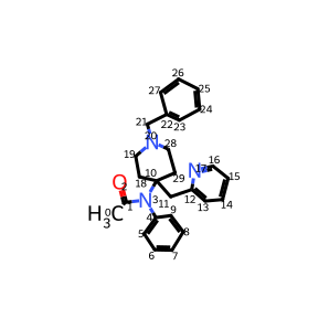 CC(=O)N(c1ccccc1)C1(Cc2ccccn2)CCN(Cc2ccccc2)CC1